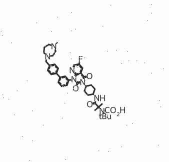 CN1CCCN(Cc2ccc(-c3cccc(-n4c(=O)n([C@H]5CC[C@@H](NC(=O)C(C)(C)N(C(=O)O)C(C)(C)C)CC5)c(=O)c5cc(F)cnc54)c3)cc2)CC1